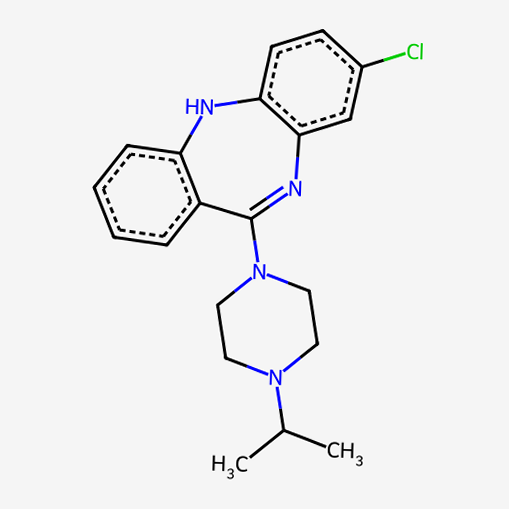 CC(C)N1CCN(C2=Nc3cc(Cl)ccc3Nc3ccccc32)CC1